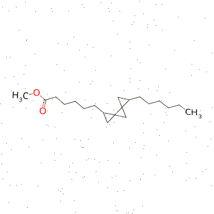 CCCCCCC1CC12CC21CC1CCCCCC(=O)OC